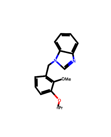 CCCOc1cccc(Cn2cnc3ccccc32)c1OC